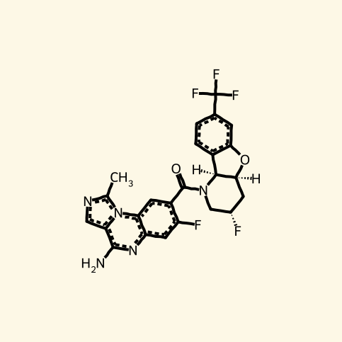 Cc1ncc2c(N)nc3cc(F)c(C(=O)N4C[C@@H](F)C[C@@H]5Oc6cc(C(F)(F)F)ccc6[C@@H]54)cc3n12